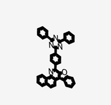 c1ccc(-c2nc(-c3ccccc3)nc(-c3ccc(-c4nc5c6ccccc6ccc5c5c4oc4ccccc45)cc3)n2)cc1